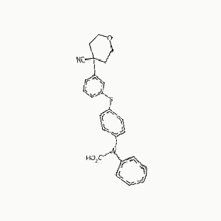 N#CC1(c2cccc(Sc3ccc(N(C(=O)O)c4ccccc4)cc3)c2)CCOCC1